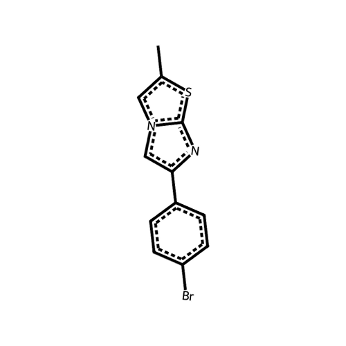 Cc1cn2cc(-c3ccc(Br)cc3)nc2s1